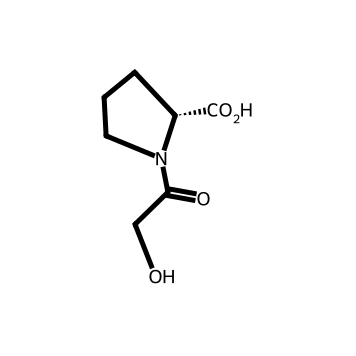 O=C(O)[C@H]1CCCN1C(=O)CO